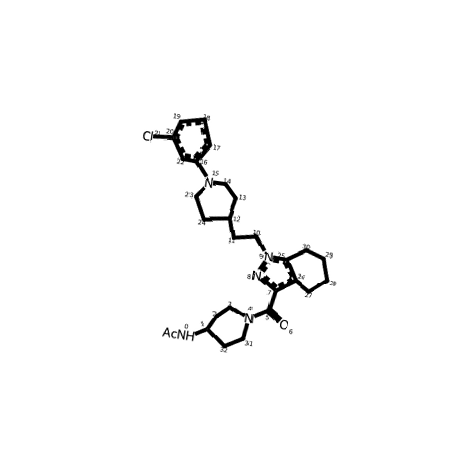 CC(=O)NC1CCN(C(=O)c2nn(CCC3CCN(c4cccc(Cl)c4)CC3)c3c2CCCC3)CC1